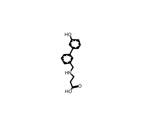 O=C(O)CCNCc1cccc(-c2cccc(O)c2)c1